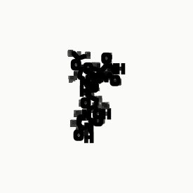 CC(C)OC(=O)[C@@H](C)NP(=O)(OCC1C[C@@](C)(O)C(n2ccc(=O)[nH]c2=O)O1)SCC1NC(=O)NC1=O